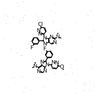 CN(C)c1ncc2nc(-c3cccc(F)c3)n(-c3ccc(Cl)nn3)c2n1.COc1ccc(-n2c(-c3cccc(F)c3)nc3c(N(C)C)ncnc32)nn1